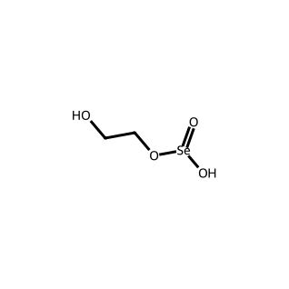 O=[Se](O)OCCO